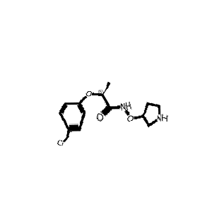 C[C@H](Oc1ccc(Cl)cc1)C(=O)NOC1CCNC1